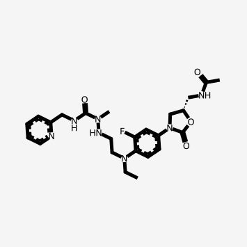 CCN(CCNN(C)C(=O)NCc1ccccn1)c1ccc(N2C[C@H](CNC(C)=O)OC2=O)cc1F